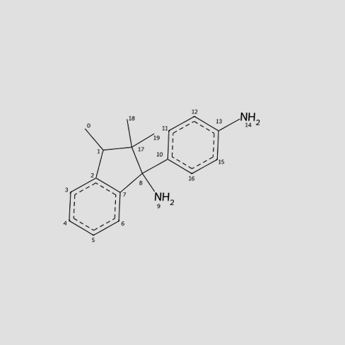 CC1c2ccccc2C(N)(c2ccc(N)cc2)C1(C)C